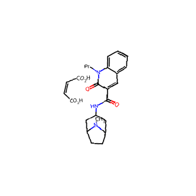 CC(C)n1c(=O)c(C(=O)NC2CC3CCC(C2)N3C)cc2ccccc21.O=C(O)/C=C\C(=O)O